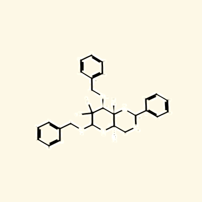 FC1(F)C(OCc2ccccc2)O[C@@H]2COC(c3ccccc3)O[C@H]2[C@@H]1OCc1ccccc1